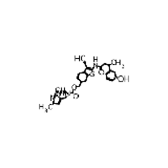 C#Cc1c(NC(=O)CC(C)c2cccc(O)c2)sc2c1CCC(COC(=O)NCc1cc(C)nn1C)C2